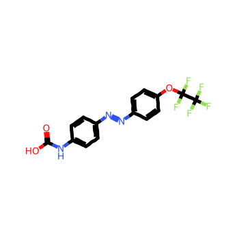 O=C(O)Nc1ccc(N=Nc2ccc(OC(F)(F)C(F)(F)F)cc2)cc1